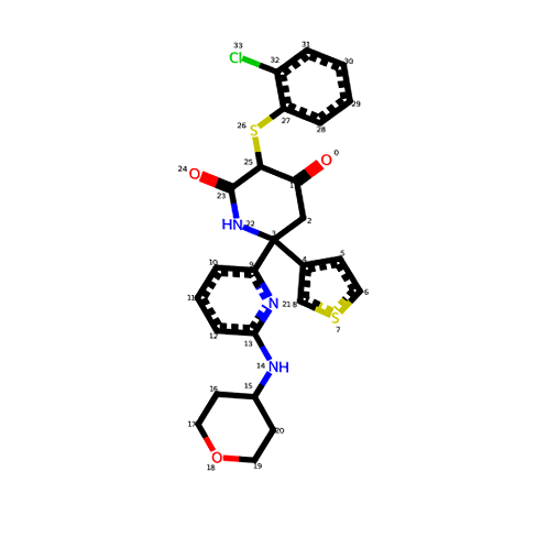 O=C1CC(c2ccsc2)(c2cccc(NC3CCOCC3)n2)NC(=O)C1Sc1ccccc1Cl